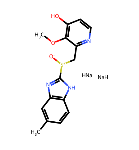 COc1c(O)ccnc1C[S+]([O-])c1nc2cc(C)ccc2[nH]1.[NaH].[NaH]